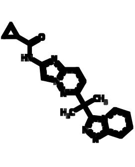 CC(C)(c1ccc2nc(NC(=O)C3CC3)cn2n1)c1nnc2ccccn12